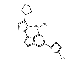 COc1cc(-c2cnn(C)c2)cn2ncc(-c3cnc(C4CCCC4)n3C)c12